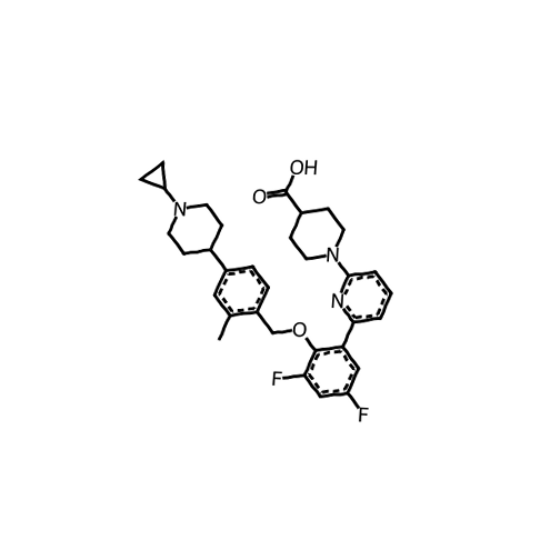 Cc1cc(C2CCN(C3CC3)CC2)ccc1COc1c(F)cc(F)cc1-c1cccc(N2CCC(C(=O)O)CC2)n1